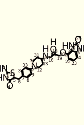 N=C1NC(=O)C(Cc2ccc(N3CCC(NC[C@@H](O)COc4cccc5[nH]c(=O)[nH]c45)CC3)cc2)S1